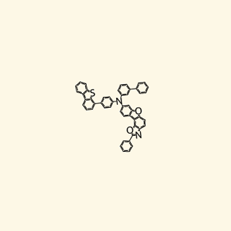 c1ccc(-c2cccc(N(c3ccc(-c4cccc5c4sc4ccccc45)cc3)c3ccc4c(c3)oc3ccc5nc(-c6ccccc6)oc5c34)c2)cc1